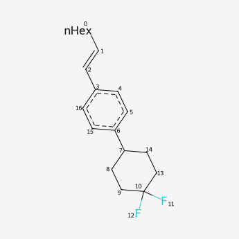 CCCCCC/C=C/c1ccc(C2CCC(F)(F)CC2)cc1